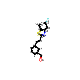 O=Cc1cccc(C=Cc2nc3cc(F)ccc3s2)c1